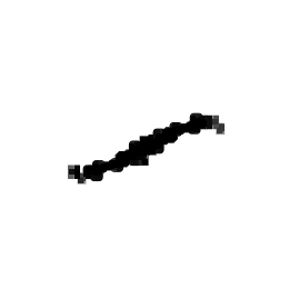 C=CC(=O)OCCCCOc1ccc(/C=C(\C#N)C(=O)Oc2cnc(SC(=O)/C(C#N)=C/c3ccc(OCCCCOC(=O)C=C)cc3)nc2)cc1